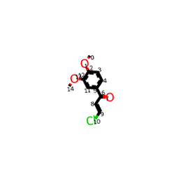 COc1ccc(C(=O)/C=C/Cl)cc1OC